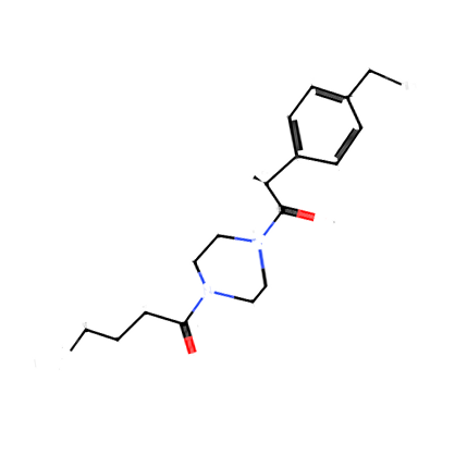 CC(C)Cc1ccc([C@H](C)C(=O)N2CCN(C(=O)CCCC(=O)O)CC2)cc1